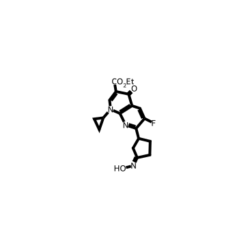 CCOC(=O)c1cn(C2CC2)c2nc(C3CC/C(=N/O)C3)c(F)cc2c1=O